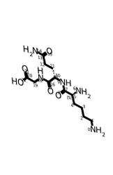 NCCCC[C@H](N)C(=O)N[C@@H](CCC(N)=O)C(=O)NCC(=O)O